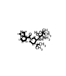 CC(C)[C@@H]1CCN(C(=O)c2cccn3cncc23)C[C@H]1NC(=O)[C@@H](N)C(C)(C)C